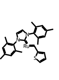 Cc1cc(C)c(-n2ccn(-c3c(C)cc(C)cc3C)[c]2=[Ru]=[CH]c2cccs2)c(C)c1